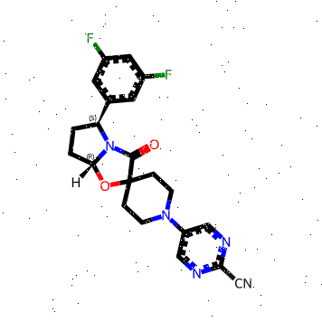 N#Cc1ncc(N2CCC3(CC2)O[C@@H]2CC[C@@H](c4cc(F)cc(F)c4)N2C3=O)cn1